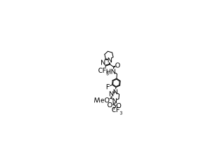 COC1=NN(c2ccc(CNC(=O)c3c(C(F)(F)F)nc4n3CCCC4)cc2F)CCN1S(=O)(=O)C(F)(F)F